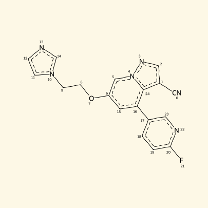 N#Cc1cnn2cc(OCCn3ccnc3)cc(-c3ccc(F)nc3)c12